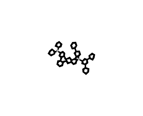 c1ccc(-c2cc(-c3ccccc3)cc(-n3c4ccc(-c5ccccc5)cc4c4c5cc6c7ccc(N(c8ccccc8)c8ccccc8)cc7c7ccccc7c6cc5ccc43)c2)cc1